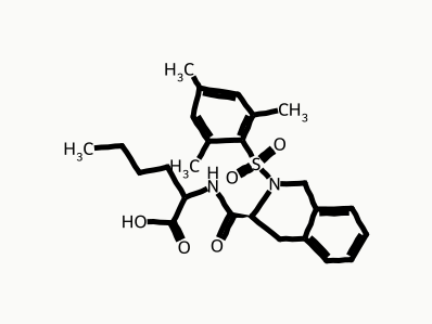 CCCCC(NC(=O)[C@@H]1Cc2ccccc2CN1S(=O)(=O)c1c(C)cc(C)cc1C)C(=O)O